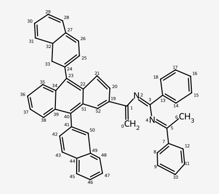 C=C(/N=C(\N=C(/C)c1ccccc1)c1ccccc1)c1ccc2c(C3=CC=C4C=CC=CC4C3)c3ccccc3c(-c3ccc4ccccc4c3)c2c1